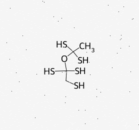 CC(S)(S)OC(S)(S)CS